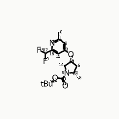 Cc1cc(O[C@@H]2C[C@H](C)N(C(=O)OC(C)(C)C)C2)cc(C(F)F)n1